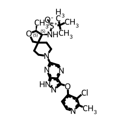 Cc1nccc(Oc2n[nH]c3nc(N4CCC5(CC4)CO[C@@H](C)[C@H]5N[S@@+]([O-])C(C)(C)C)cnc23)c1Cl